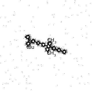 Cc1ccc2c(-c3ccc(-c4ccc(-c5ccc6c(c5)c5cc(C(C)(C)C)ccc5n6-c5ccccc5)cc4)cc3)c3cc(C)ccc3c(-c3ccc(-c4ccc(-c5ccccc5)cc4)cc3)c2c1